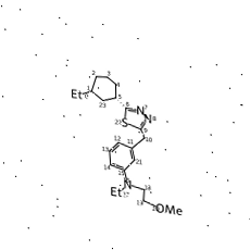 CCC1CCC[C@H](c2nnc(Cc3cccc(N(CC)CCOC)c3)s2)C1